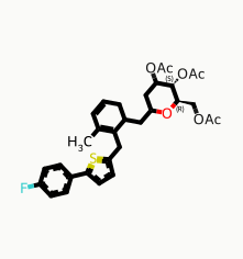 CC(=O)OC[C@H]1OC(CC2CC=CC(C)=C2Cc2ccc(-c3ccc(F)cc3)s2)CC(OC(C)=O)[C@@H]1OC(C)=O